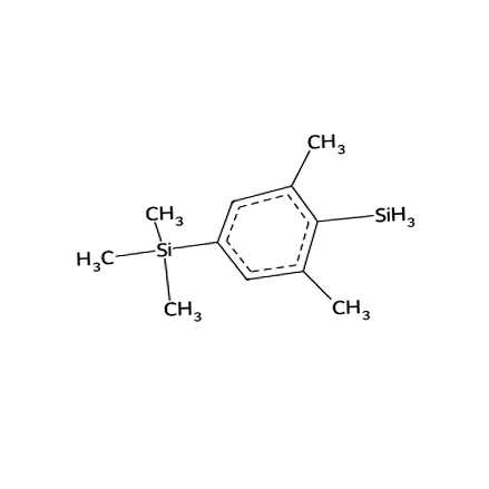 Cc1cc([Si](C)(C)C)cc(C)c1[SiH3]